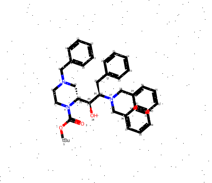 CC(C)(C)OC(=O)N1CCN(Cc2ccccc2)C[C@@H]1[C@H](O)[C@@H](Cc1ccccc1)N(Cc1ccccc1)Cc1ccccc1